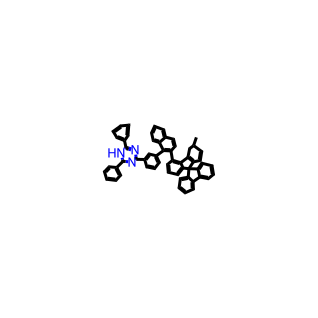 CC1C=CC2=C(C1)c1c(-c3ccc4ccccc4c3-c3cccc(C4=NC(c5ccccc5)NC(c5ccccc5)=N4)c3)cccc1C21c2ccccc2-c2ccccc21